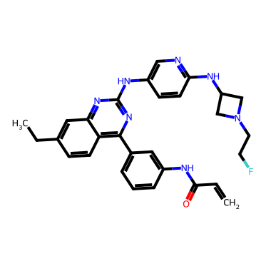 C=CC(=O)Nc1cccc(-c2nc(Nc3ccc(NC4CN(CCF)C4)nc3)nc3cc(CC)ccc23)c1